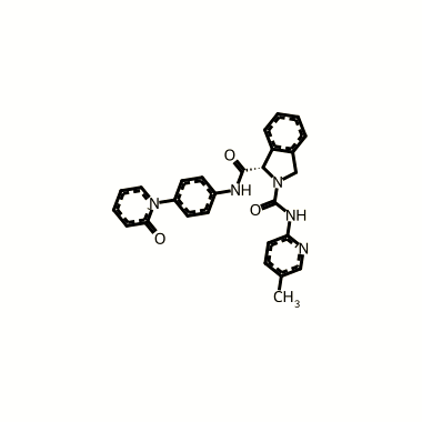 Cc1ccc(NC(=O)N2Cc3ccccc3[C@H]2C(=O)Nc2ccc(-n3ccccc3=O)cc2)nc1